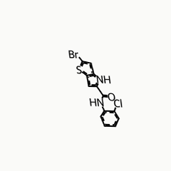 O=C(Nc1ccccc1Cl)c1cc2sc(Br)cc2[nH]1